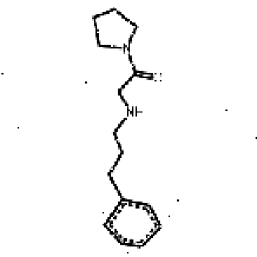 O=C(CNCCCc1ccccc1)N1CCCC1